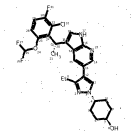 CCc1nn([C@H]2CC[C@H](O)CC2)cc1-c1cnc2[nH]cc([C@H](C)c3c(OC(F)F)ccc(F)c3Cl)c2c1